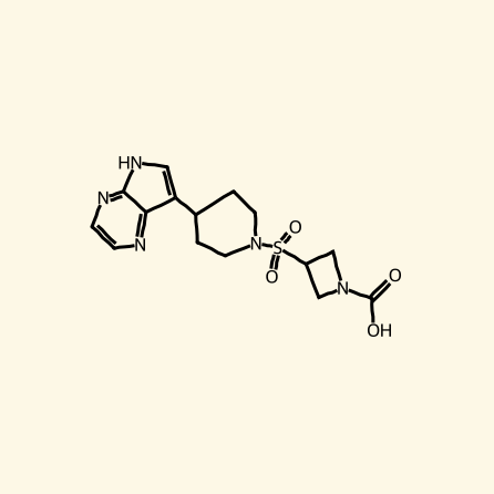 O=C(O)N1CC(S(=O)(=O)N2CCC(c3c[nH]c4nccnc34)CC2)C1